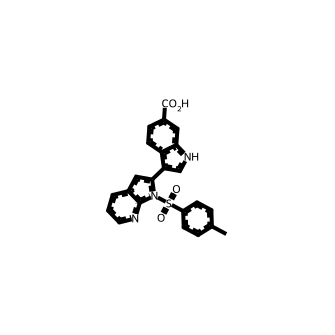 Cc1ccc(S(=O)(=O)n2c(-c3c[nH]c4cc(C(=O)O)ccc34)cc3cccnc32)cc1